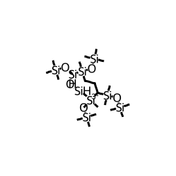 C[Si](C)(C)O[SiH](O[SiH3])[Si](C)(CC[C]([Si](C)(C)O[Si](C)(C)C)[Si](C)(C)O[Si](C)(C)C)O[Si](C)(C)C